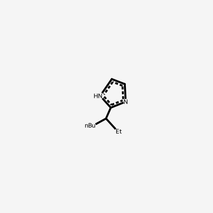 CCCCC(CC)c1ncc[nH]1